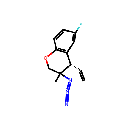 C=C[C@H]1c2cc(F)ccc2OCC1(C)N=[N+]=[N-]